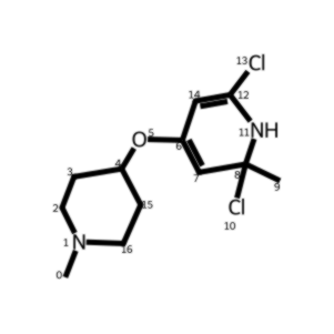 CN1CCC(OC2=CC(C)(Cl)NC(Cl)=C2)CC1